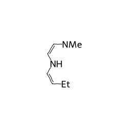 CC/C=C\N/C=C\NC